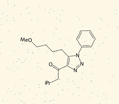 COCCCCc1c(C(=O)[CH]C(C)C)nnn1-c1ccccc1